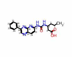 [CH2]CCC(CC(=O)O)NC(=O)Nc1ccc2ncc(-c3ccccc3)nc2n1